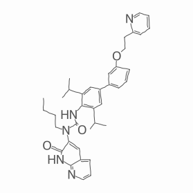 CCCCN(C(=O)Nc1c(C(C)C)cc(-c2cccc(OCCc3ccccn3)c2)cc1C(C)C)c1cc2cccnc2[nH]c1=O